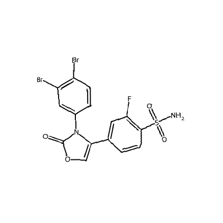 NS(=O)(=O)c1ccc(-c2coc(=O)n2-c2ccc(Br)c(Br)c2)cc1F